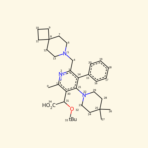 Cc1nc(CN2CCC3(CCC3)CC2)c(-c2ccccc2)c(N2CCC(C)(C)CC2)c1C(OC(C)(C)C)C(=O)O